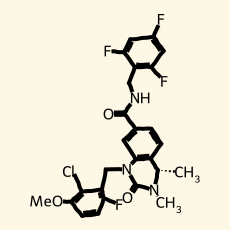 COc1ccc(F)c(CN2C(=O)N(C)[C@@H](C)c3ccc(C(=O)NCc4c(F)cc(F)cc4F)cc32)c1Cl